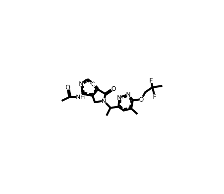 CC(=O)Nc1nccc2c1CN(C(C)c1cc(C)c(OCC(C)(F)F)nn1)C2=O